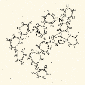 CC1(C)c2ccccc2-c2cc3c4ccccc4n(-c4cccc(-c5cc(-c6cccc(-c7cccc(-c8ccccc8)c7)c6)nc(-c6cccc(-c7cccc(-c8ccccc8)c7)c6)n5)c4)c3cc21